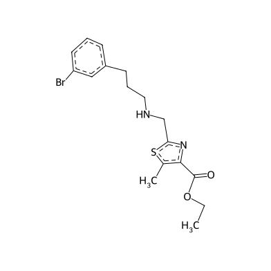 CCOC(=O)c1nc(CNCCCc2cccc(Br)c2)sc1C